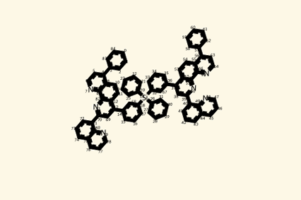 c1ccc(-c2ccnc3c2ccc2c(-c4cccc([Si](c5ccccc5)(c5ccccc5)c5cccc(-c6cc(-c7cccc8cccnc78)nc7c6ccc6c(-c8ccccc8)ccnc67)c5)c4)cc(-c4cccc5cccnc45)nc23)cc1